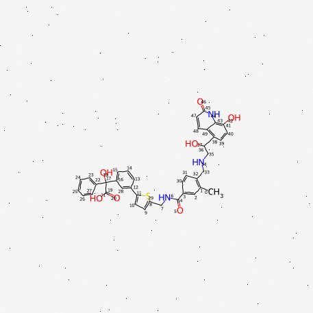 Cc1cc(C(=O)NCc2ccc(-c3cccc(C(O)(C(=O)O)c4ccccc4)c3)s2)ccc1CNCC(O)c1ccc(O)c2[nH]c(=O)ccc12